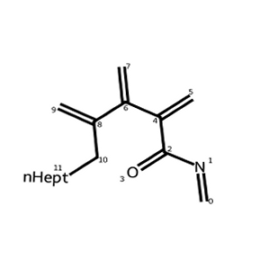 C=NC(=O)C(=C)C(=C)C(=C)CCCCCCCC